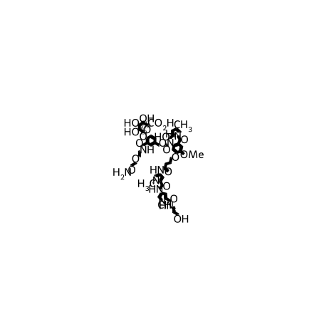 COc1cc2c(cc1OCCCC(=O)Nc1cc(C(=O)Nc3cc(C(=O)NCCCO)n(C)c3)n(C)c1)N(C(=O)OCc1ccc(O[C@@H]3O[C@H](C(=O)O)[C@@H](O)[C@H](O)[C@H]3O)c(C(=O)NCCOCCON)c1)C(O)[C@@H]1CC(C)=CN1C2=O